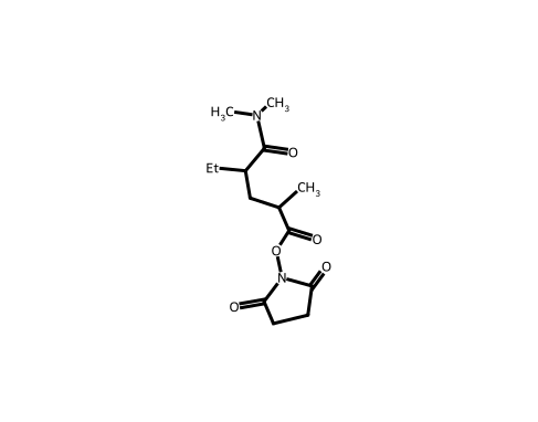 CCC(CC(C)C(=O)ON1C(=O)CCC1=O)C(=O)N(C)C